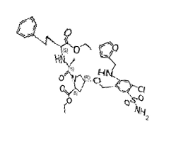 CCOC(=O)[C@H](CCc1ccccc1)N[C@@H](C)C(=O)N1C[C@H](OCc2cc(S(N)(=O)=O)c(Cl)cc2NCc2ccco2)C[C@H]1C(=O)OCC